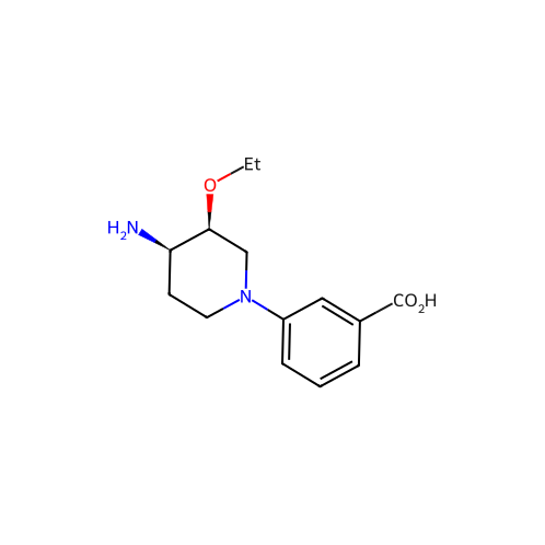 CCO[C@H]1CN(c2cccc(C(=O)O)c2)CC[C@H]1N